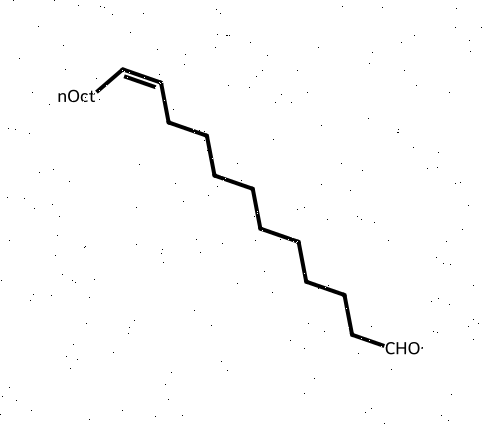 CCCCCCCC/C=C\CCCCCCCCC[C]=O